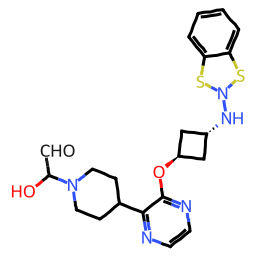 O=CC(O)N1CCC(c2nccnc2O[C@H]2C[C@H](NN3Sc4ccccc4S3)C2)CC1